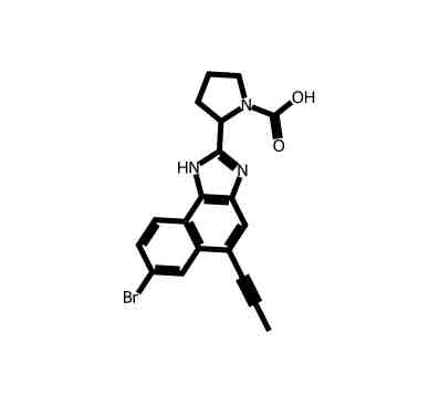 CC#Cc1cc2nc(C3CCCN3C(=O)O)[nH]c2c2ccc(Br)cc12